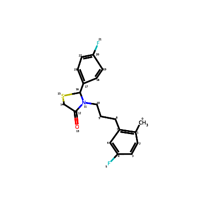 Cc1ccc(F)cc1CCCN1C(=O)CSC1c1ccc(F)cc1